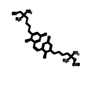 CC(C)(CO)CCCCC1=CC(=O)C=C(/C=C\C2=CC(=O)C=C(CCCCC(C)(C)OC=O)C2=O)C1=O